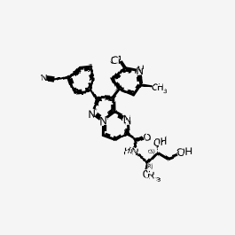 Cc1cc(-c2c(-c3cccc(C#N)c3)nn3ccc(C(=O)N[C@H](C)[C@H](O)CO)nc23)cc(Cl)n1